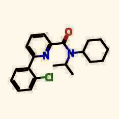 CC(C)N(C(=O)c1cccc(-c2ccccc2Cl)n1)C1CCCCC1